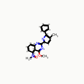 COc1nc(-c2ccc(C)c(-c3ccccc3)n2)nc2cccc([N+](C)=O)c12